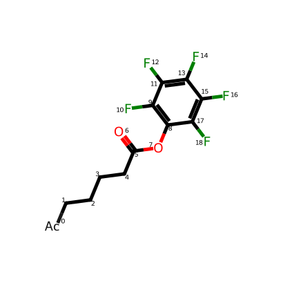 CC(=O)CCCCC(=O)Oc1c(F)c(F)c(F)c(F)c1F